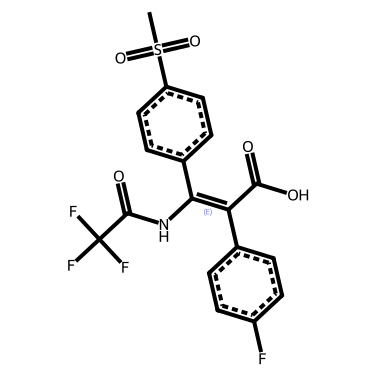 CS(=O)(=O)c1ccc(/C(NC(=O)C(F)(F)F)=C(\C(=O)O)c2ccc(F)cc2)cc1